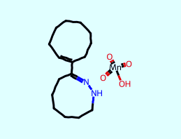 C1=C(C2=NNCCCCCC2)CCCCCCC1.[O]=[Mn](=[O])(=[O])[OH]